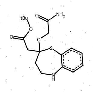 CC(C)(C)OC(=O)CC1(OCC(N)=O)CCNc2ccccc2S1